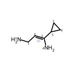 NC/C=C(\N)C1CC1